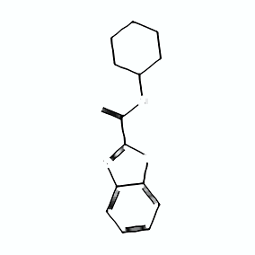 O=C(NC1CCCCC1)c1nc2ccccc2s1